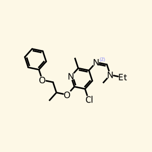 CCN(C)/C=N\c1cc(Cl)c(OC(C)COc2ccccc2)nc1C